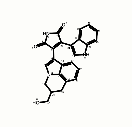 O=C1NC(=O)C(c2cn3c4c(cccc24)CC(CO)C3)=C1c1c[nH]c2ccccc12